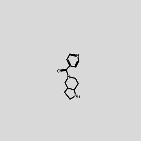 O=C(c1ccncc1)N1CCC2NCCC2C1